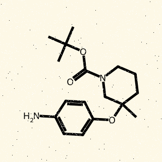 CC(C)(C)OC(=O)N1CCCC(C)(Oc2ccc(N)cc2)C1